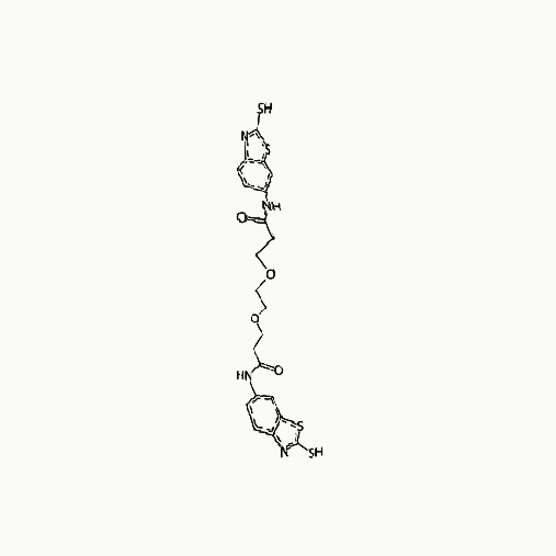 O=C(CCOCCOCCC(=O)Nc1ccc2nc(S)sc2c1)Nc1ccc2nc(S)sc2c1